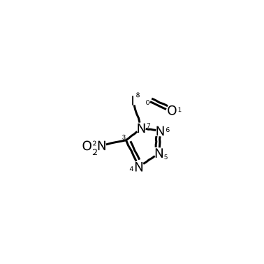 C=O.O=[N+]([O-])c1nnnn1I